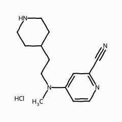 CN(CCC1CCNCC1)c1ccnc(C#N)c1.Cl